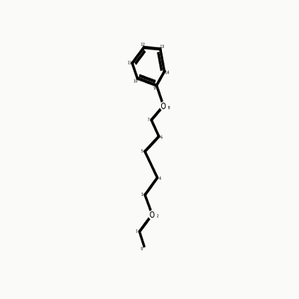 CCOCCCCCOc1ccccc1